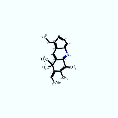 CN/C=C1\C(C)=C(C)c2nc3cccc(CC(C)C)c3cc2C1(C)C